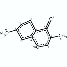 Cc1ccc2c(=O)c(C)coc2c1